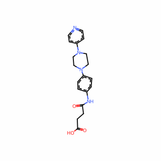 O=C(O)CCC(=O)Nc1ccc(N2CCN(c3ccncc3)CC2)cc1